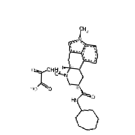 CN1C[C@H](C(=O)NC2CCCCCC2)CC2c3cccc4c3c(cn4C)C[C@H]21.O=C(O)C(=O)O